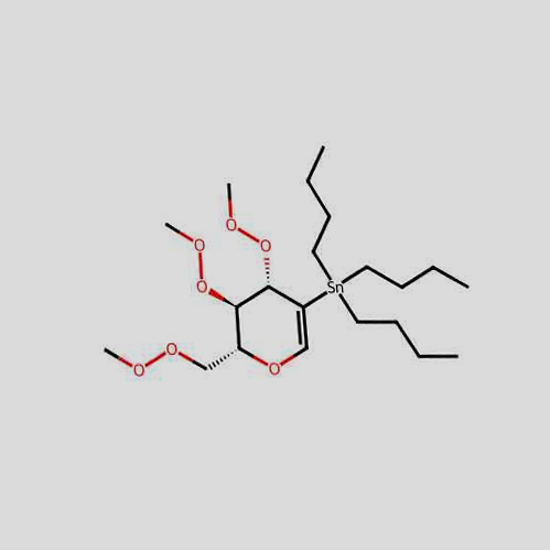 CCC[CH2][Sn]([CH2]CCC)([CH2]CCC)[C]1=CO[C@H](COOC)[C@@H](OOC)[C@@H]1OOC